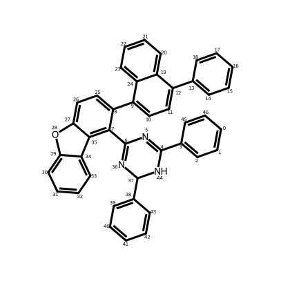 c1ccc(C2=NC(c3c(-c4ccc(-c5ccccc5)c5ccccc45)ccc4oc5ccccc5c34)=NC(c3ccccc3)N2)cc1